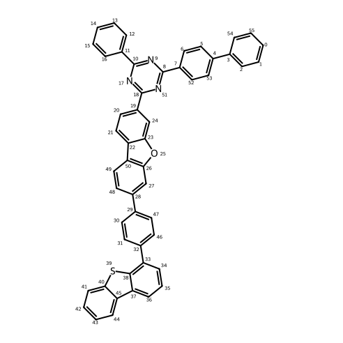 c1ccc(-c2ccc(-c3nc(-c4ccccc4)nc(-c4ccc5c(c4)oc4cc(-c6ccc(-c7cccc8c7sc7ccccc78)cc6)ccc45)n3)cc2)cc1